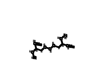 CCOC(COOOCC(OC)OCC)OC